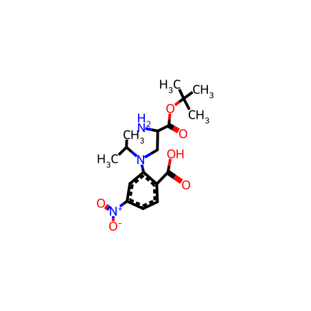 CC(C)N(CC(N)C(=O)OC(C)(C)C)c1cc([N+](=O)[O-])ccc1C(=O)O